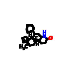 C[C@@]12CCC[C@H]1[C@@H]1C(c3ccccc3)CC3NC(=O)CC[C@]3(C)[C@@H]1CC2